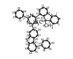 CC1(C)c2ccccc2-c2cccc(-c3nc(-c4ccccc4)nc(-c4ccc5c(c4)sc4cccc(-c6ccccc6)c45)n3)c21